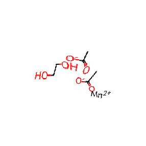 CC(=O)[O-].CC(=O)[O-].OCCO.[Mn+2]